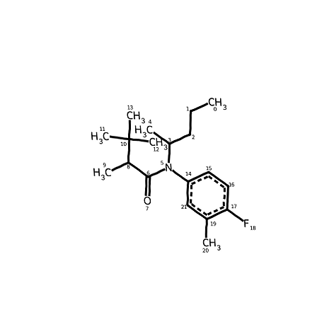 CCCC(C)N(C(=O)C(C)C(C)(C)C)c1ccc(F)c(C)c1